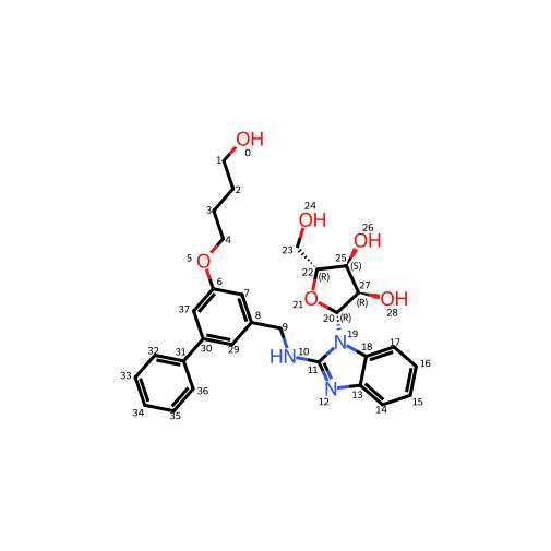 OCCCCOc1cc(CNc2nc3ccccc3n2[C@@H]2O[C@H](CO)[C@@H](O)[C@H]2O)cc(-c2ccccc2)c1